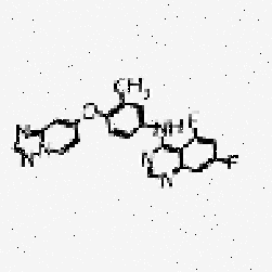 Cc1cc(Nc2ncnc3cc(F)cc(F)c23)ccc1Oc1ccn2ncnc2c1